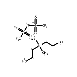 CCCC[N+](C)(CCO)CCO.O=S(=O)([N-]S(=O)(=O)C(F)(F)F)C(F)(F)F